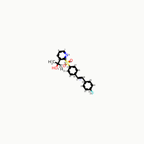 CC(C)(O)c1cccnc1S(=O)(=O)c1ccc(/C=C/c2ccc(F)cc2)cc1